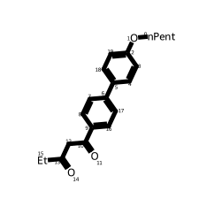 CCCCCOc1ccc(-c2ccc(C(=O)CC(=O)CC)cc2)cc1